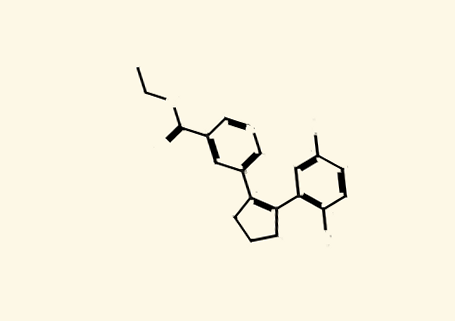 CCOC(=O)c1cncc(C2=C(c3cc(Cl)ccc3O)CCC2)c1